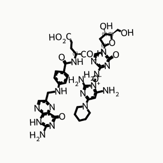 Nc1cc(N2CCCCC2)nc(N)[n+]1[O-].Nc1nc(=O)c2nc(CNc3ccc(C(=O)N[C@@H](CCC(=O)O)C(=O)O)cc3)cnc2[nH]1.Nc1ncn([C@H]2C[C@H](O)[C@@H](CO)O2)c(=O)n1